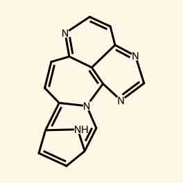 C1=c2ccc([nH]2)=c2ccc3nccc4ncnc(c34)n21